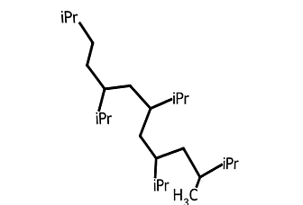 CC(C)CCC(CC(CC(CC(C)C(C)C)C(C)C)C(C)C)C(C)C